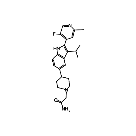 Cc1cc(-c2[nH]c3ccc(C4CCN(CC(N)=O)CC4)cc3c2C(C)C)c(F)cn1